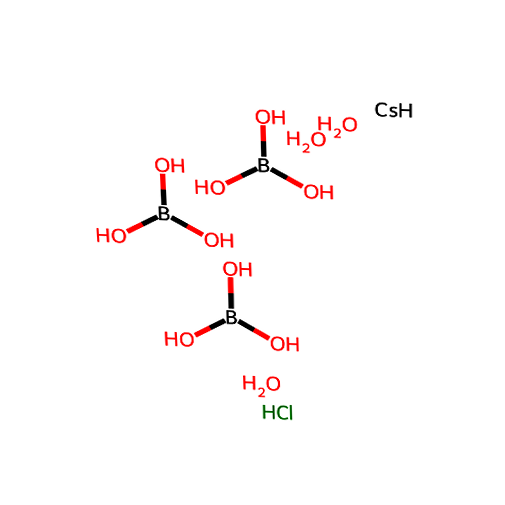 Cl.O.O.O.OB(O)O.OB(O)O.OB(O)O.[CsH]